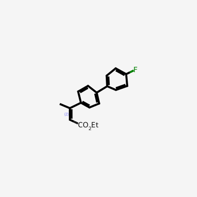 CCOC(=O)/C=C(/C)c1ccc(-c2ccc(F)cc2)cc1